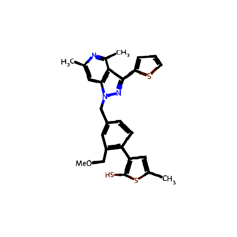 COCc1cc(Cn2nc(-c3cccs3)c3c(C)nc(C)cc32)ccc1-c1cc(C)sc1S